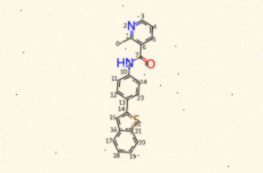 Cc1ncccc1C(=O)Nc1ccc(-c2cc3ccccc3s2)cc1